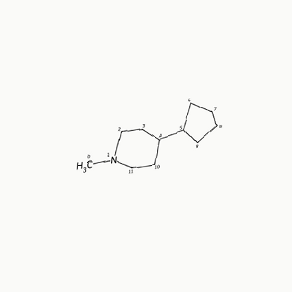 CN1CCC(C2CCCC2)CC1